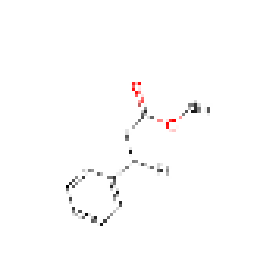 CCC(CC(=O)OC(C)(C)C)c1ccccc1